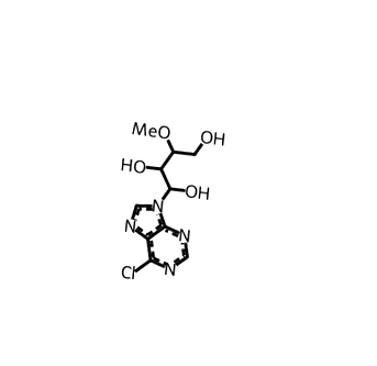 COC(CO)C(O)C(O)n1cnc2c(Cl)ncnc21